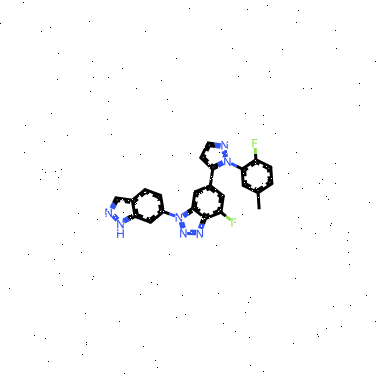 Cc1ccc(F)c(-n2nccc2-c2cc(F)c3nnn(-c4ccc5cn[nH]c5c4)c3c2)c1